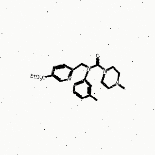 CCOC(=O)c1ccc(CN(C(=O)N2CCN(C)CC2)c2cccc(C)c2)nc1